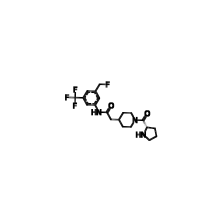 O=C(CC1CCN(C(=O)[C@@H]2CCCN2)CC1)Nc1cc(CF)cc(C(F)(F)F)c1